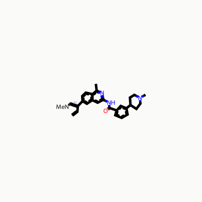 C=C/C(=C\NC)c1ccc2c(C)nc(NC(=O)c3cccc(C4CCN(C)CC4)c3)cc2c1